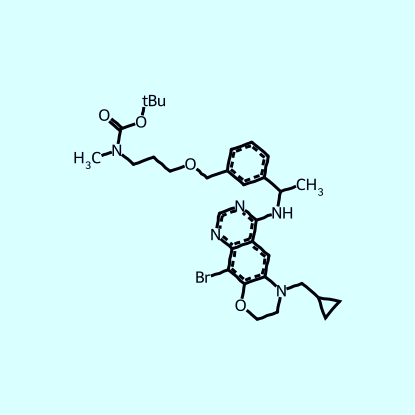 CC(Nc1ncnc2c(Br)c3c(cc12)N(CC1CC1)CCO3)c1cccc(COCCCN(C)C(=O)OC(C)(C)C)c1